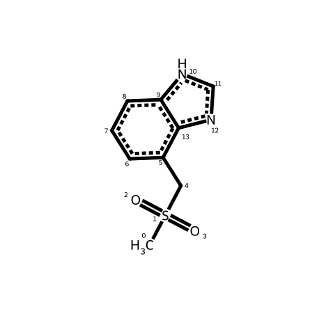 CS(=O)(=O)Cc1cccc2[nH]cnc12